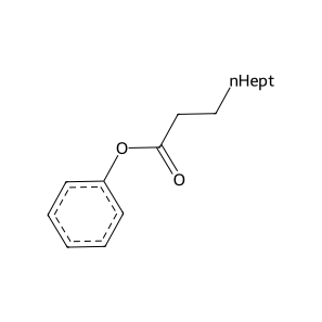 [CH2]CCCCCCCCC(=O)Oc1ccccc1